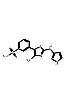 Cc1nc(Nc2cc[nH]n2)sc1-c1cccc(S(N)(=O)=O)c1